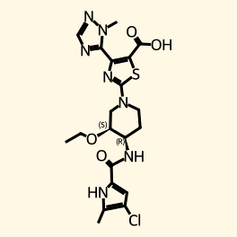 CCO[C@H]1CN(c2nc(-c3ncnn3C)c(C(=O)O)s2)CC[C@H]1NC(=O)c1cc(Cl)c(C)[nH]1